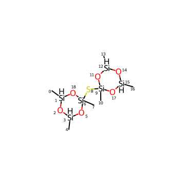 C[SiH]1O[SiH](C)O[Si](C)(S[Si]2(C)O[SiH](C)O[SiH](C)O2)O1